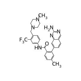 Cc1ccc(C(=O)Nc2ccc(CN3CCN(C)CC3)c(C(F)(F)F)c2)c(-c2ccc3cnc(N)nc3c2)c1